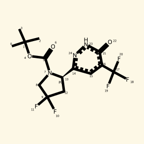 CC(C)(C)OC(=O)N1CC(F)(F)C[C@@H]1c1cc(C(F)(F)F)c(=O)[nH]n1